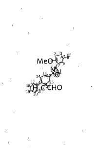 COc1ccc(F)cc1-c1noc(C2=CC=C(c3ccccc3)C(C)(C=O)C2)n1